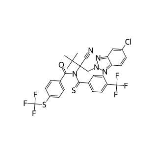 CC(C)(C)C(C#N)(Cn1nc2ccc(Cl)cc2n1)N(C(=O)c1ccc(SC(F)(F)F)cc1)C(=S)c1ccc(C(F)(F)F)cc1